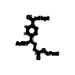 CCCCCCCC(=O)c1ccc(C(CCC(=O)OCCCCC)NC(C)=O)cc1